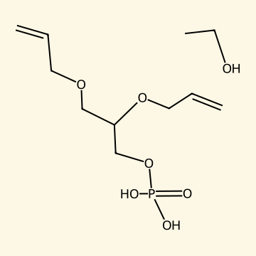 C=CCOCC(COP(=O)(O)O)OCC=C.CCO